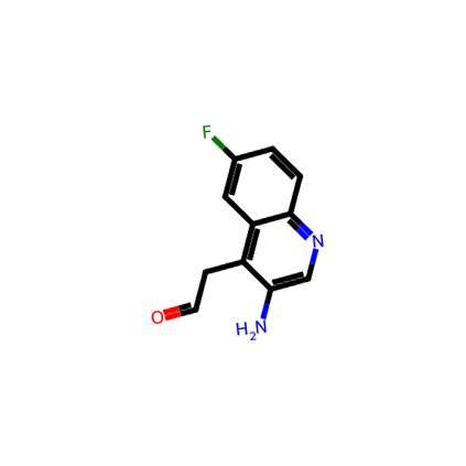 Nc1cnc2ccc(F)cc2c1CC=O